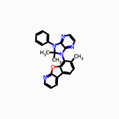 Cc1ccc2c(oc3ncccc32)c1N1c2nccnc2N(c2ccccc2)C1(C)C